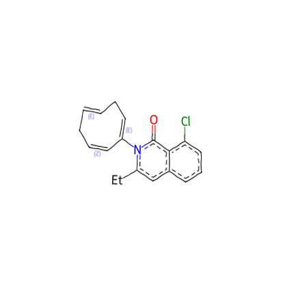 CCc1cc2cccc(Cl)c2c(=O)n1C1=C/C/C=C/C/C=C\1